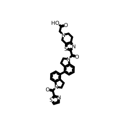 O=C(O)CN1CCc2nc(C(=O)N3CCc4c(-c5cccc6c5CCN6C(=O)c5nccs5)cccc43)sc2C1